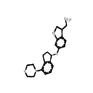 O=C(O)CC1COc2cc(O[C@@H]3CCc4c3cccc4N3CCOCC3)ccc21